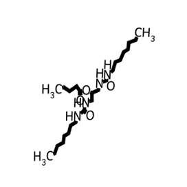 CCCCCCCCNC(=O)NCC(CNC(=O)NCCCCCCCC)OC(=O)CCCC